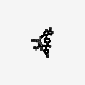 CC(C)NCC(C(=O)N1CCN(c2c(C#N)cnc3[nH]ncc23)CC1)c1ccc(Cl)cc1.Cl.Cl